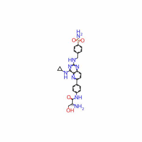 N[C@@H](CO)C(=O)Nc1ccc(-c2ccc3nc(NCc4ccc(S(N)(=O)=O)cc4)nc(NC4CC4)c3n2)cc1